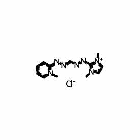 Cn1cc[n+](C)c1N=NC=NN=c1ccccn1C.[Cl-]